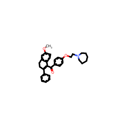 COc1ccc2c(c1)CCC(c1ccccc1)=C2C(=O)c1ccc(OCCN2CCCCCC2)cc1